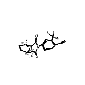 C[C@]12CC[C@](C)(O1)C1C(=O)N(c3ccc(C#N)c(C(F)(F)F)c3)C(=O)[C@H]12